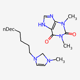 CCCCCCCCCCCCCCN1C=CN(C)C1.Cn1c(=O)c2[nH]cnc2n(C)c1=O